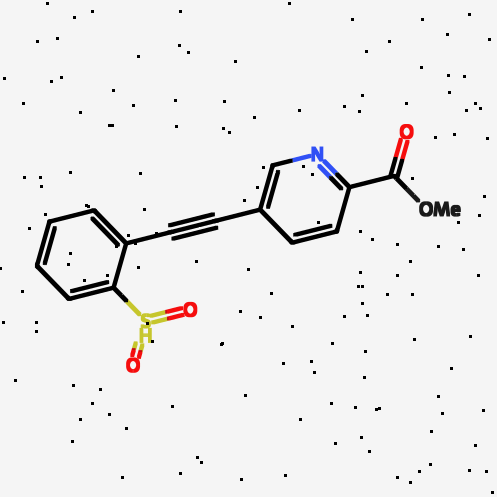 COC(=O)c1ccc(C#Cc2ccccc2[SH](=O)=O)cn1